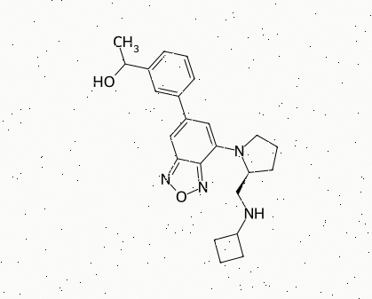 CC(O)c1cccc(-c2cc(N3CCC[C@H]3CNC3CCC3)c3nonc3c2)c1